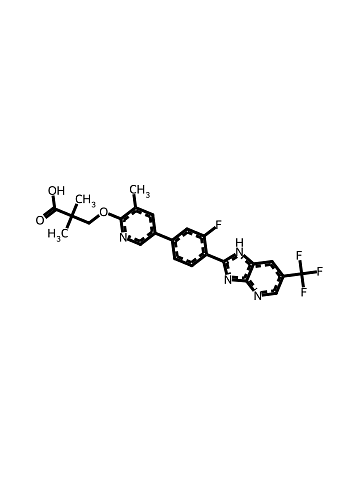 Cc1cc(-c2ccc(-c3nc4ncc(C(F)(F)F)cc4[nH]3)c(F)c2)cnc1OCC(C)(C)C(=O)O